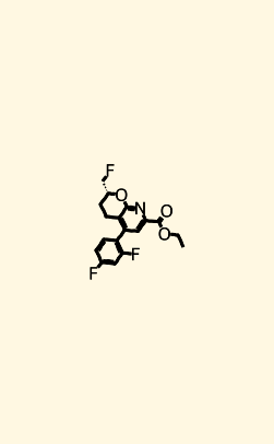 CCOC(=O)c1cc(-c2ccc(F)cc2F)c2c(n1)O[C@@H](CF)CC2